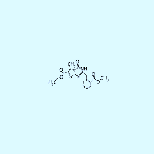 CCOC(=O)c1sc2nc(Cc3ccccc3C(=O)OC)[nH]c(=O)c2c1C